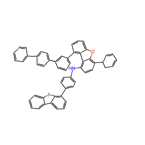 C1=CCC(c2ccc(Nc3ccc(-c4cccc5c4sc4ccccc45)cc3)c3c2oc2cccc(-c4cccc(-c5ccc(-c6ccccc6)cc5)c4)c23)C=C1